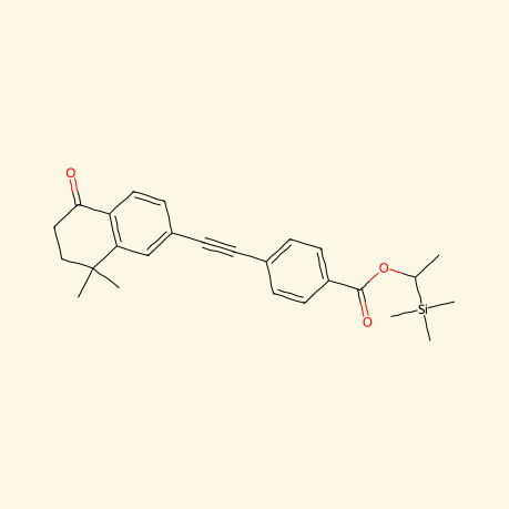 CC(OC(=O)c1ccc(C#Cc2ccc3c(c2)C(C)(C)CCC3=O)cc1)[Si](C)(C)C